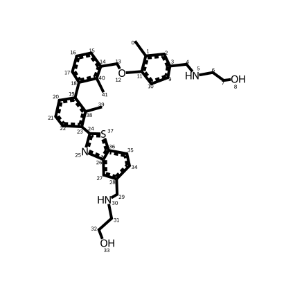 Cc1cc(CNCCO)ccc1OCc1cccc(-c2cccc(-c3nc4cc(CNCCO)ccc4s3)c2C)c1C